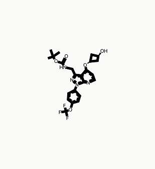 CC(C)(C)OC(=O)NCc1nn(-c2ccc(OC(F)(F)F)cc2)c2nccc(O[C@H]3C[C@H](O)C3)c12